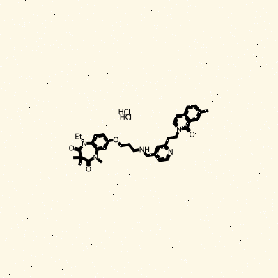 CCN1C(=O)C(C)(C)C(=O)N(C)c2cc(OCCCNCc3ccnc(CCn4ccc5ccc(C)cc5c4=O)c3)ccc21.Cl.Cl